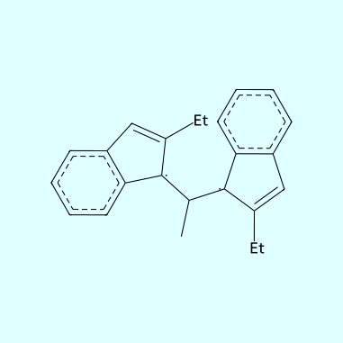 CCC1=Cc2ccccc2[C]1C(C)[C]1C(CC)=Cc2ccccc21